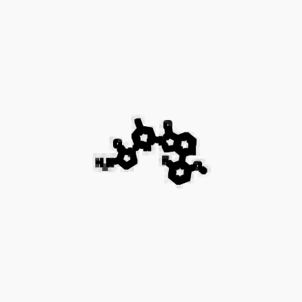 COc1cccc(F)c1-c1nccc2c1CN(c1cc(C)cc(N3CCC(N)C3=O)n1)C2=O